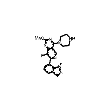 COc1nc(N2CCNCC2)c2cnc(-c3cccc4cnn(C)c34)c(F)c2n1